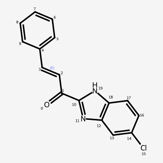 O=C(/C=C/c1ccccc1)c1nc2cc(Cl)ccc2[nH]1